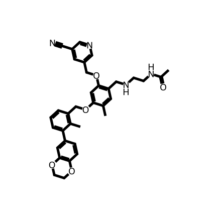 CC(=O)NCCNCc1cc(C)c(OCc2cccc(-c3ccc4c(c3)OCCO4)c2C)cc1OCc1cncc(C#N)c1